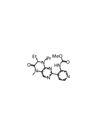 CC[C@@H]1C(=O)N(C)c2cnc(-c3ccncc3NC(=O)OC)nc2N1C(C)C